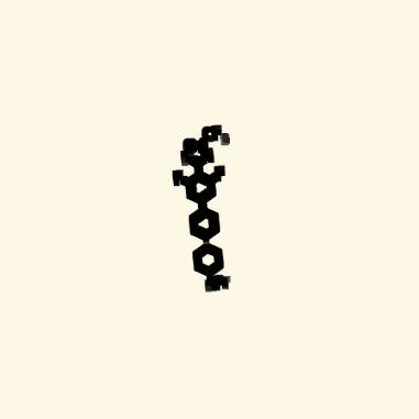 CCC[C@H]1CC[C@H](c2ccc(-c3cc(F)c(-c4noc(C(F)(F)F)n4)c(F)c3)cc2)CC1